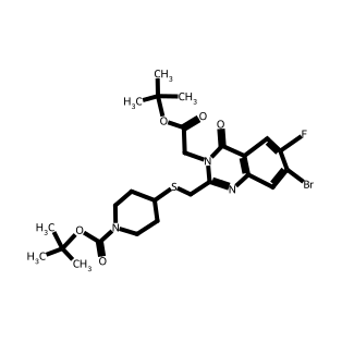 CC(C)(C)OC(=O)Cn1c(CSC2CCN(C(=O)OC(C)(C)C)CC2)nc2cc(Br)c(F)cc2c1=O